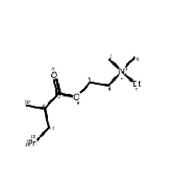 CC[N+](C)(C)CCOC(=O)C(C)CC(C)C